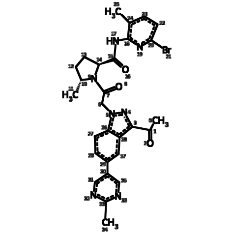 CC(=O)c1nn(CC(=O)N2[C@H](C)CC[C@H]2C(=O)Nc2nc(Br)ccc2C)c2ccc(-c3cnc(C)nc3)cc12